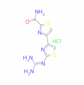 Cl.NC(=O)c1nc(-c2csc(N=C(N)N)n2)cs1